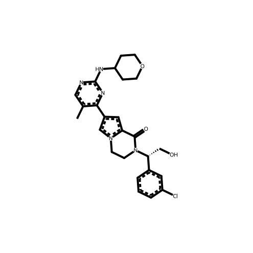 Cc1cnc(NC2CCOCC2)nc1-c1cc2n(c1)CCN([C@H](CO)c1cccc(Cl)c1)C2=O